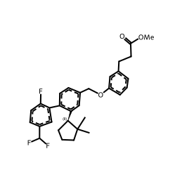 COC(=O)CCc1cccc(OCc2ccc(-c3cc(C(F)F)ccc3F)c([C@@H]3CCCC3(C)C)c2)c1